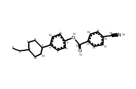 CCC1CCC(c2ccc(OC(=O)c3ccc(C#N)cc3)cc2)CC1